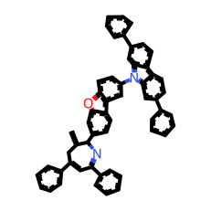 C=C1CC(c2ccccc2)=CC(c2ccccc2)=NC1c1ccc2c(c1)oc1ccc(-n3c4cc(-c5ccccc5)ccc4c4ccc(-c5ccccc5)cc43)cc12